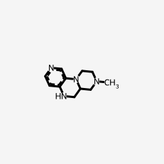 CN1CCN2c3cnccc3NCC2C1